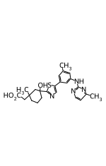 Cc1cc(Nc2nccc(C)n2)cc(-c2cnc(C3(O)CCCC(C)(CC(=O)O)C3)s2)c1